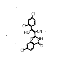 N#CC(=C(O)c1ccc(Cl)cc1Cl)c1nc2cc(Cl)ccc2c(=O)[nH]1